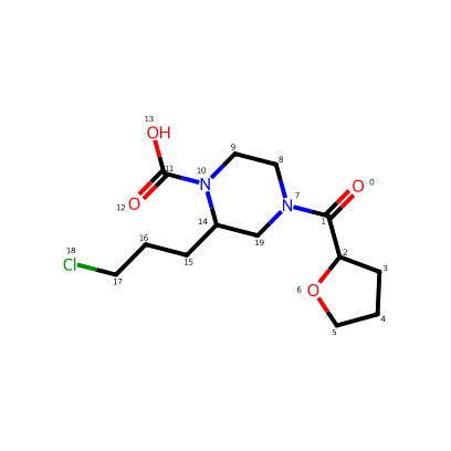 O=C(C1CCCO1)N1CCN(C(=O)O)C(CCCCl)C1